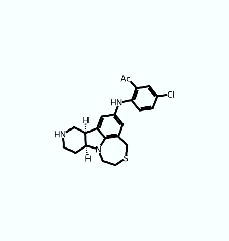 CC(=O)c1cc(Cl)ccc1Nc1cc2c3c(c1)[C@@H]1CNCC[C@@H]1N3CCSC2